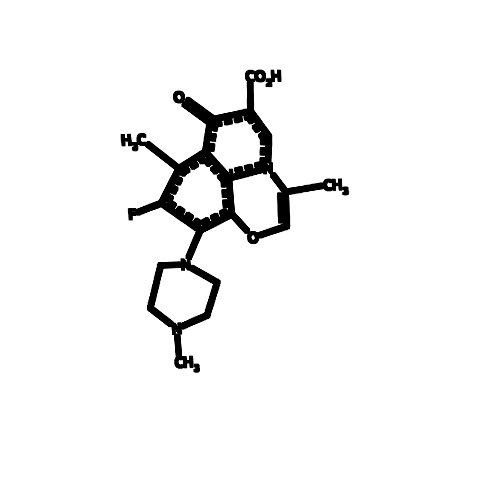 CC1=COc2c(N3CCN(C)CC3)c(F)c(C)c3c(=O)c(C(=O)O)cn1c23